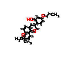 CCCOc1ccc(C2=Cc3ccc4c(c3OC2)C=CC(C)(C)O4)c(O)c1